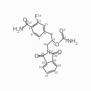 NC(=O)OC(Cc1ccc(C(N)=O)c(F)c1)CN1C(=O)c2ccccc2C1=O